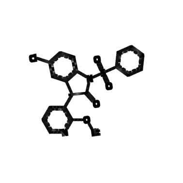 CCOc1ncccc1[C]1C(=O)N(S(=O)(=O)c2ccccc2)c2ccc(Cl)cc21